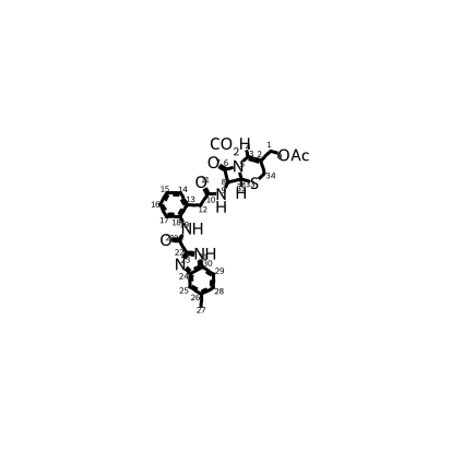 CC(=O)OCC1=C(C(=O)O)N2C(=O)C(NC(=O)Cc3ccccc3NC(=O)c3nc4cc(C)ccc4[nH]3)[C@H]2SC1